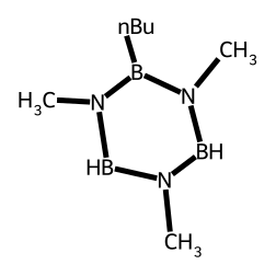 CCCCB1N(C)BN(C)BN1C